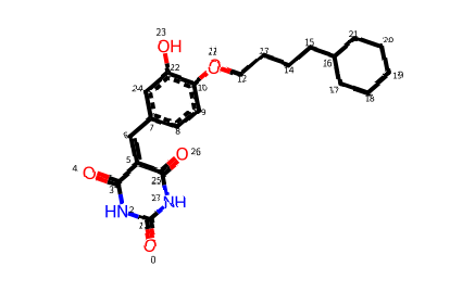 O=C1NC(=O)C(=Cc2ccc(OCCCCC3CCCCC3)c(O)c2)C(=O)N1